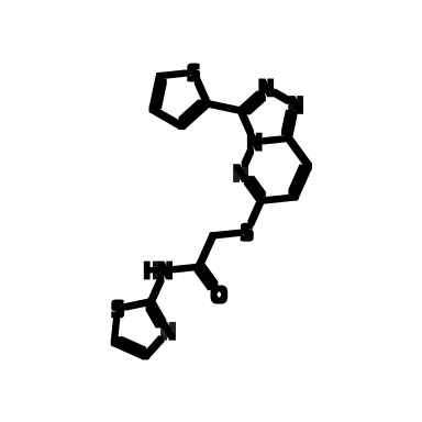 O=C(CSc1ccc2nnc(-c3cccs3)n2n1)Nc1nccs1